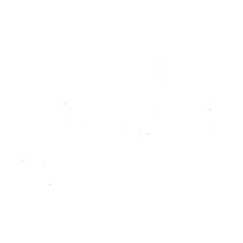 CC(C)(C)C(=O)c1ccc(CC(Cc2ccc(C(=O)C(C)(C)C)cc2Cl)C(=O)O)c(Cl)c1